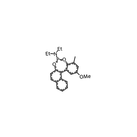 CCN(CC)p1oc2ccc3ccccc3c2c2cc(OC)cc(C)c2o1